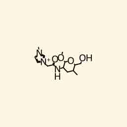 COC1OC(CO)C(C)CC1NC(=O)C[n+]1ccn(C)c1